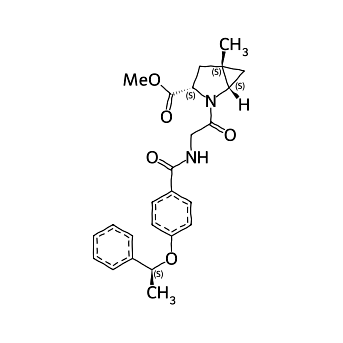 COC(=O)[C@@H]1C[C@]2(C)C[C@@H]2N1C(=O)CNC(=O)c1ccc(O[C@@H](C)c2ccccc2)cc1